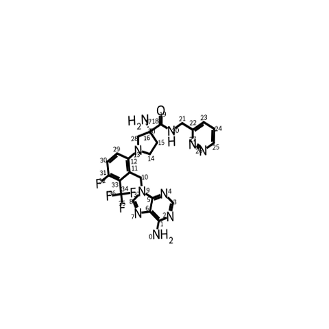 Nc1ncnc2c1ncn2Cc1c(N2CC[C@](N)(C(=O)NCc3cccnn3)C2)ccc(F)c1C(F)(F)F